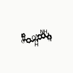 Cc1ccncc1-c1cc(N)c2cnc(NC(=O)C=C3CCC(C(=O)N4CCCC4)CC3)cc2c1